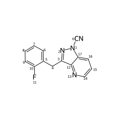 N#Cn1nc(Cc2ccccc2F)c2ncccc21